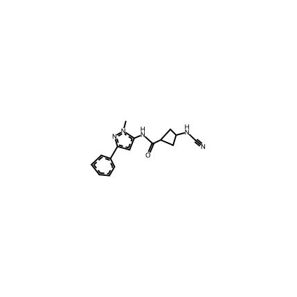 Cn1nc(-c2ccccc2)cc1NC(=O)C1CC(NC#N)C1